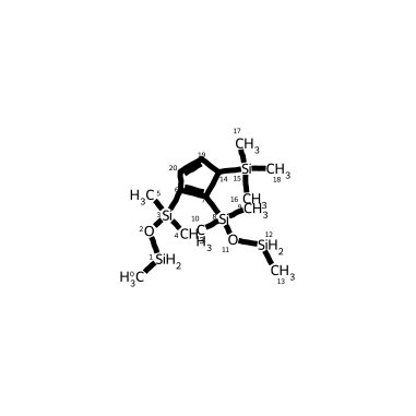 C[SiH2]O[Si](C)(C)C1=C([Si](C)(C)O[SiH2]C)C([Si](C)(C)C)C=C1